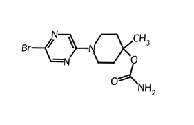 CC1(OC(N)=O)CCN(c2cnc(Br)cn2)CC1